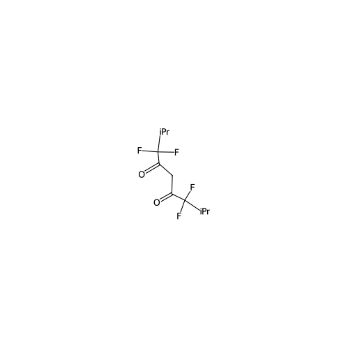 CC(C)C(F)(F)C(=O)CC(=O)C(F)(F)C(C)C